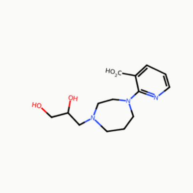 O=C(O)c1cccnc1N1CCCN(CC(O)CO)CC1